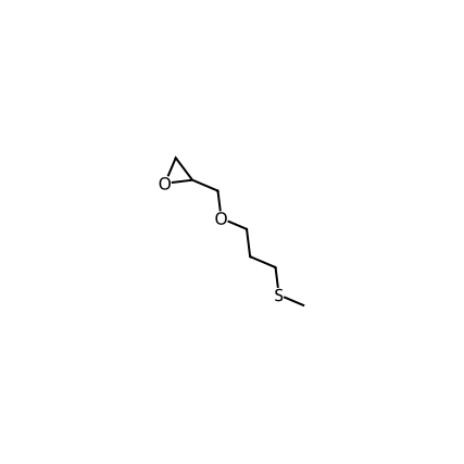 CSCCCOCC1CO1